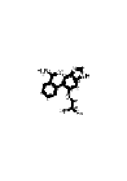 NC(=O)c1ccccc1-c1cc2nc[nH]c2cc1OCC(F)F